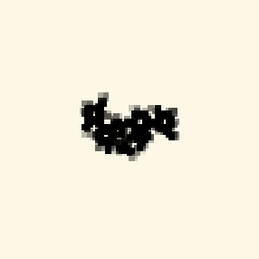 CC1=Cc2c(-c3cc(C)ccc3C)cccc2[CH]1[Zr]([CH]1C(C)=Cc2c(-c3cc(C)ccc3C)cccc21)[SiH](C)C